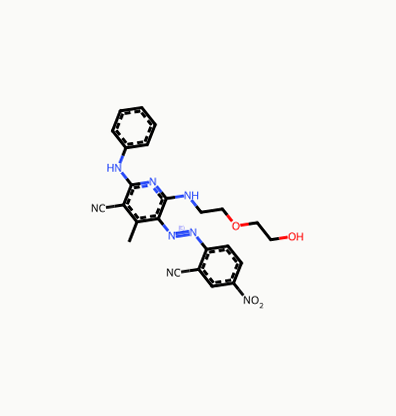 Cc1c(C#N)c(Nc2ccccc2)nc(NCCOCCO)c1/N=N/c1ccc([N+](=O)[O-])cc1C#N